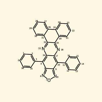 c1ccc(-c2c3nonc3c(-c3ccccc3)c3nc4c5ccccc5c5ccccc5c4nc23)cc1